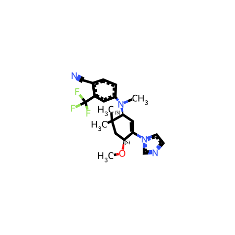 CO[C@H]1CC(C)(C)[C@@H](N(C)c2ccc(C#N)c(C(F)(F)F)c2)C=C1n1ccnc1